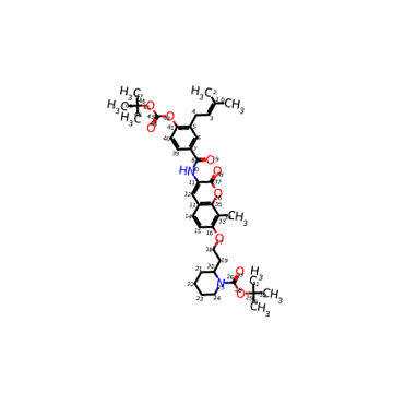 CC(C)=CCc1cc(C(=O)Nc2cc3ccc(OCCC4CCCCN4C(=O)OC(C)(C)C)c(C)c3oc2=O)ccc1OC(=O)OC(C)(C)C